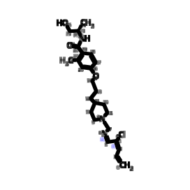 C=C/C=C(Cl)\C=N/CN1CCC(CCCOc2ccc(C(=O)N[C@H](C)CO)c(C)c2)CC1